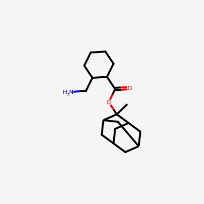 CC1(OC(=O)C2CCCCC2CN)C2CC3CC(C2)CC1C3